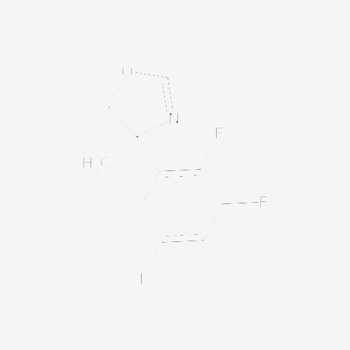 CC1(c2cc(F)cc(F)c2F)CO[C]=N1